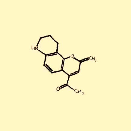 C=C1C=C(C(C)=O)c2ccc3c(c2O1)CCCN3